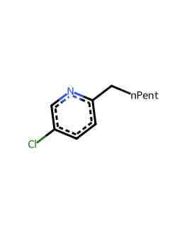 [CH2]CCCCCc1ccc(Cl)cn1